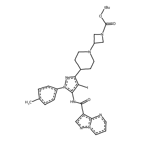 Cc1ccc(-n2nc(C3CCN(C4CN(C(=O)OC(C)(C)C)C4)CC3)c(I)c2NC(=O)c2cnn3cccnc23)cc1